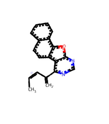 C=C(/C=C\C)c1ncnc2oc3c4ccccc4ccc3c12